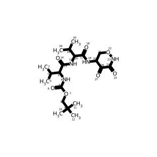 CC(C)C(NC(=O)OCC(C)(C)C)C(=O)NC(C(=O)NC1CONC(=O)C1=O)C(C)C